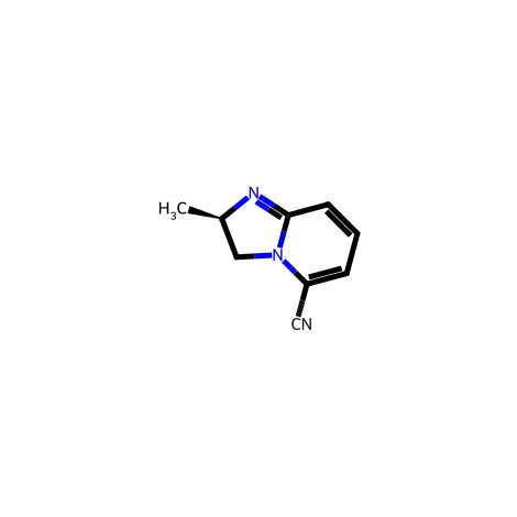 C[C@@H]1CN2C(C#N)=CC=CC2=N1